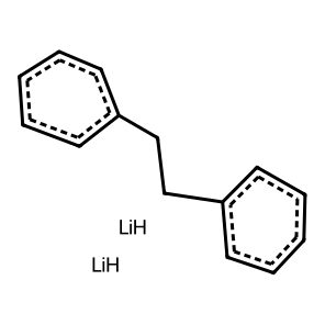 [LiH].[LiH].c1ccc(CCc2ccccc2)cc1